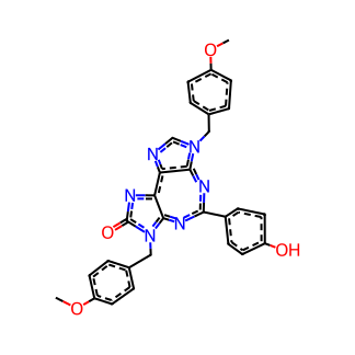 COc1ccc(Cn2c3nc(-c4ccc(O)cc4)nc4c(ncn4Cc4ccc(OC)cc4)c-3nc2=O)cc1